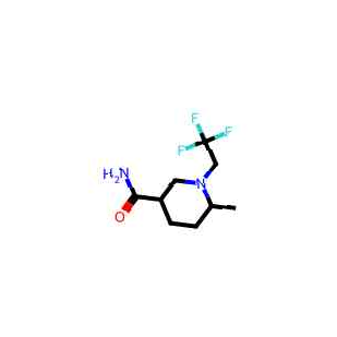 CC1CCC(C(N)=O)CN1CC(F)(F)F